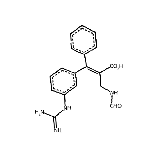 N=C(N)Nc1cccc(C(=C(CNC=O)C(=O)O)c2ccccc2)c1